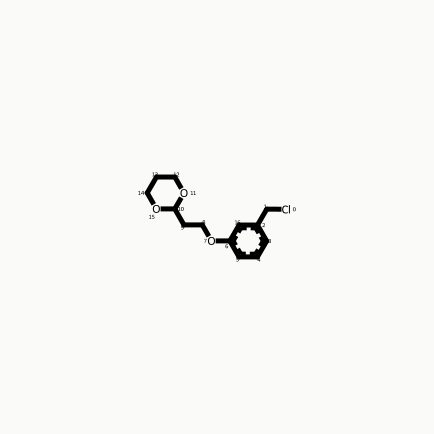 ClCc1cccc(OCCC2OCCCO2)c1